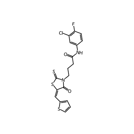 O=C(CCCN1C(=O)/C(=C\c2cccs2)SC1=S)Nc1ccc(F)c(Cl)c1